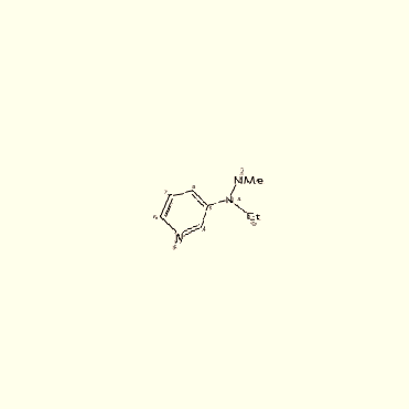 CCN(NC)c1[c]nccc1